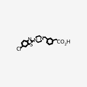 O=C(O)Cc1cccc(CN2CCN(c3nc4ccc(Cl)cc4s3)CC2)c1